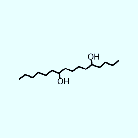 CCCCCCC(O)CCCCC(O)CCCC